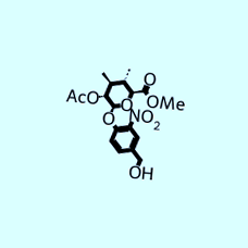 COC(=O)[C@H]1O[C@@H](Oc2ccc(CO)cc2[N+](=O)[O-])[C@H](OC(C)=O)[C@@H](C)[C@@H]1C